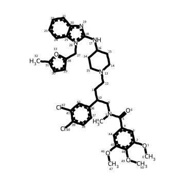 COc1cc(C(=O)N(C)CC(CCN2CCC(Nc3nc4ccccc4n3Cc3ccc(C)o3)CC2)c2ccc(Cl)c(Cl)c2)cc(OC)c1OC